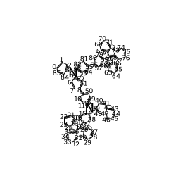 c1ccc(-n2c3ccc(-c4ccc(N(c5ccc(C6(c7ccccc7)c7ccccc7-c7ccccc76)cc5)c5ccc6ccccc6c5)cc4)cc3c3cc(-c4ccc(C5(c6ccccc6)c6ccccc6-c6ccccc65)cc4)ccc32)cc1